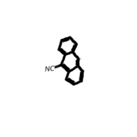 N#Cc1c2ccccc2[c]c2ccccc12